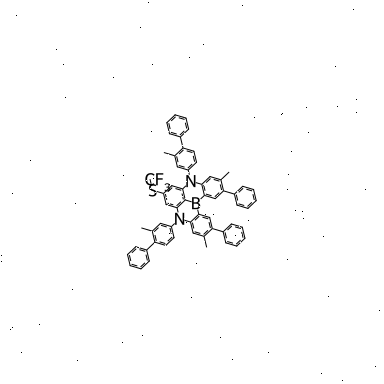 Cc1cc(N2c3cc(C)c(-c4ccccc4)cc3B3c4cc(-c5ccccc5)c(C)cc4N(c4ccc(-c5ccccc5)c(C)c4)c4cc(SC(F)(F)F)cc2c43)ccc1-c1ccccc1